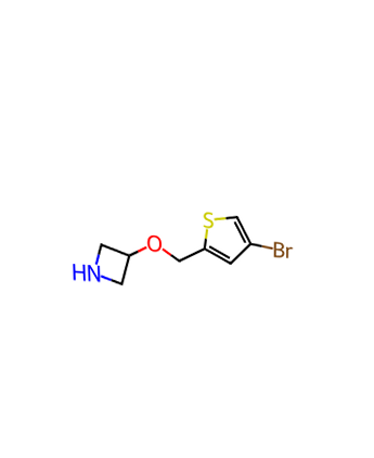 Brc1csc(COC2CNC2)c1